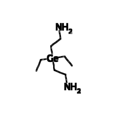 C[CH2][Ge]([CH2]C)([CH2]CN)[CH2]CN